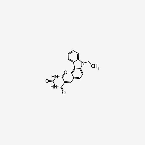 CCn1c2ccccc2c2cc(C=C3C(=O)NC(=O)NC3=O)ccc21